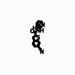 N#Cc1ccc2c(c1)SC(C(=O)N[C@H]1CN3CCC1CC3)C2